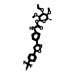 CCO[C@@H]1[C@@H](OC)[C@H](C)O[C@@H](OC(=O)Nc2ccc(C3=NOC(c4ccc(C(F)(F)F)cc4)C3)cc2)[C@@H]1OC